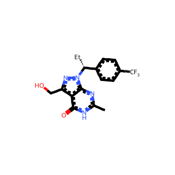 CC[C@H](c1ccc(C(F)(F)F)cc1)n1nc(CO)c2c(=O)[nH]c(C)nc21